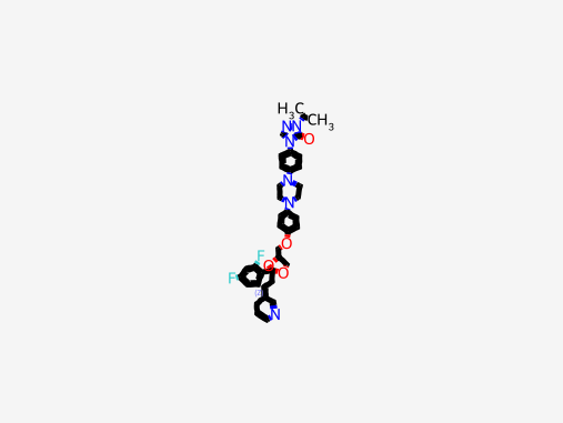 CC(C)n1ncn(-c2ccc(N3CCN(c4ccc(OCC5COC(C/C=C6\C=NC=CC6)(c6ccc(F)cc6F)O5)cc4)CC3)cc2)c1=O